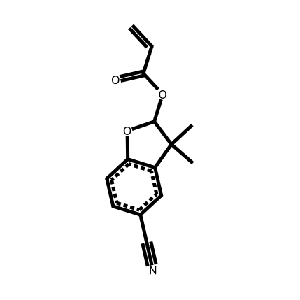 C=CC(=O)OC1Oc2ccc(C#N)cc2C1(C)C